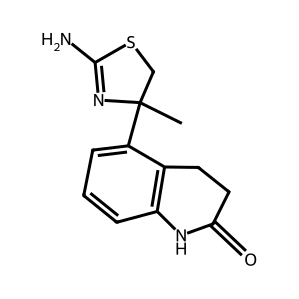 CC1(c2cccc3c2CCC(=O)N3)CSC(N)=N1